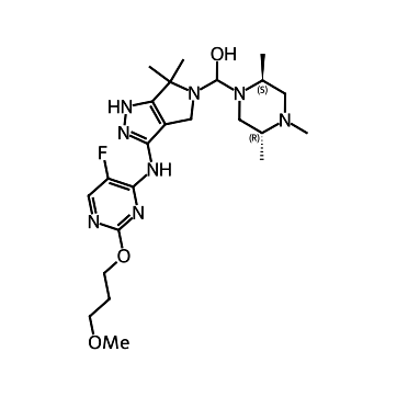 COCCCOc1ncc(F)c(Nc2n[nH]c3c2CN(C(O)N2C[C@@H](C)N(C)C[C@@H]2C)C3(C)C)n1